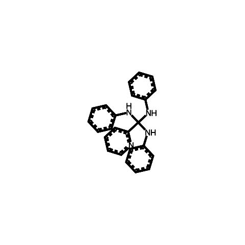 c1ccc(NC(Nc2ccccc2)(Nc2ccccc2)c2ccccn2)cc1